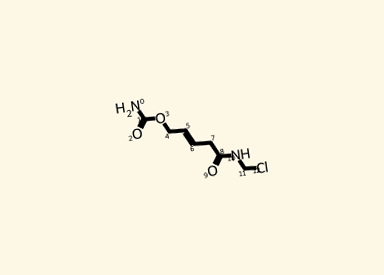 NC(=O)OCC=CCC(=O)NCCl